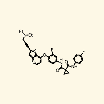 CCN(CC)CC#Cc1cc2nccc(Oc3ccc(NC(=O)C4(C(=O)Nc5ccc(F)cc5)CC4)cc3F)c2s1